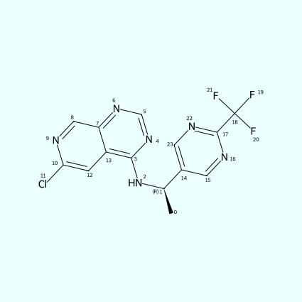 C[C@@H](Nc1ncnc2cnc(Cl)cc12)c1cnc(C(F)(F)F)nc1